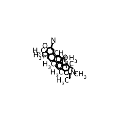 CCC(=O)N(C)C[C@@]1(C)CC[C@]2(C)CC[C@@]3(C)[C@]4(C)CC[C@H]5C(C)(C)C(=O)C(C#N)=C[C@]5(C)C4=CC(=O)[C@]3(O)[C@@H]2C1